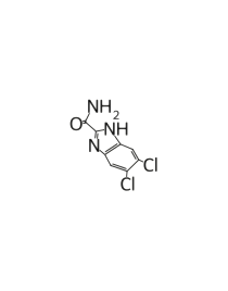 NC(=O)c1nc2cc(Cl)c(Cl)cc2[nH]1